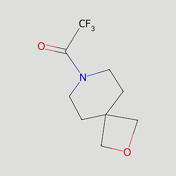 O=C(N1CCC2(CC1)COC2)C(F)(F)F